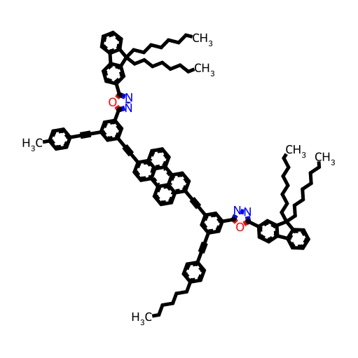 CCCCCCCCC1(CCCCCCCC)c2ccccc2-c2ccc(-c3nnc(-c4cc(C#Cc5ccc(C)cc5)cc(C#Cc5ccc6c7cccc8c(C#Cc9cc(C#Cc%10ccc(CCCCCC)cc%10)cc(-c%10nnc(-c%11ccc%12c(c%11)C(CCCCCCCC)(CCCCCCCC)c%11ccccc%11-%12)o%10)c9)ccc(c9cccc5c96)c87)c4)o3)cc21